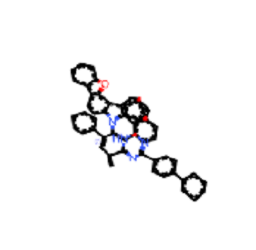 C=C(/C=C(\C(=C\c1ccccc1)n1c2ccccc2c2c3oc4ccccc4c3ccc21)c1ccccc1)C1=NC(c2ccc(-c3ccccc3)cc2)=NC(c2ccccc2)N1